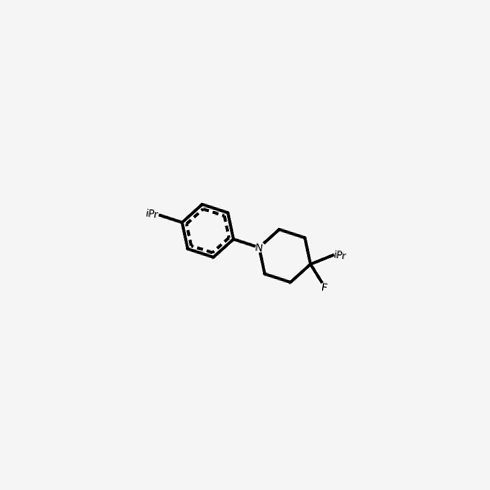 CC(C)c1ccc(N2CCC(F)(C(C)C)CC2)cc1